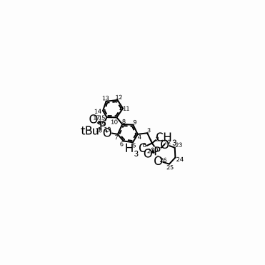 CC(C)(Cc1ccc2c(c1)-c1ccccc1P(=O)(C(C)(C)C)O2)P1(=O)OCCCO1